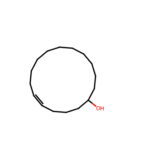 OC1CCCC=CCCCCCCCCCC1